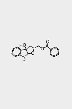 O=C(OC[C@@H]1C[C@@]2(O)c3ccccc3NC2O1)c1ccccc1